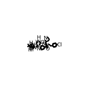 C[C@H]1[C@@H](NC(=Nc2ccc3c(=O)n(CCc4ccc(Cl)cc4)c(C4CCCN(C)C4)nc3c2)N2CC(=O)N[C@@H](C)C2)C[C@@H]2C[C@@H]1C2(C)C